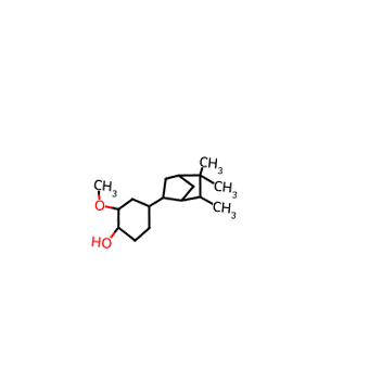 COC1CC(C2CC3CC2C(C)C3(C)C)CCC1O